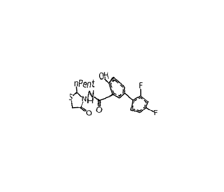 CCCCCC1SCC(=O)N1NC(=O)c1cc(-c2ccc(F)cc2F)ccc1O